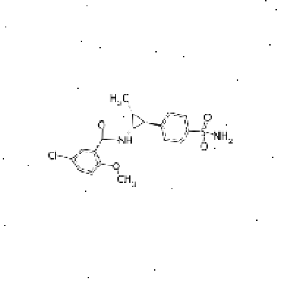 COc1ccc(Cl)cc1C(=O)N[C@@H]1[C@H](C)[C@H]1c1ccc(S(N)(=O)=O)cc1